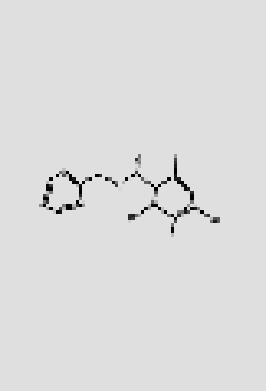 Cc1cc(O)c(C)c(O)c1C(=O)OCc1ccccc1